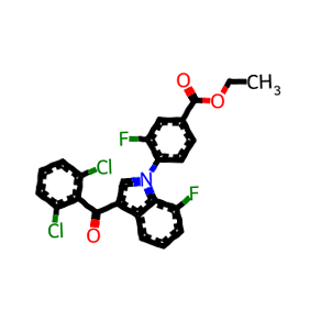 CCOC(=O)c1ccc(-n2cc(C(=O)c3c(Cl)cccc3Cl)c3cccc(F)c32)c(F)c1